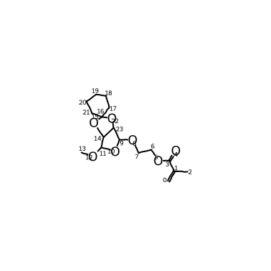 C=C(C)C(=O)OCCOC1OC(OC)C2OC3(CCCCC3)OC12